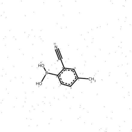 Cc1ccc(B(O)O)c(C#N)c1